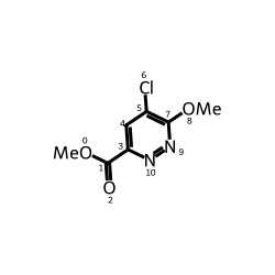 COC(=O)c1cc(Cl)c(OC)nn1